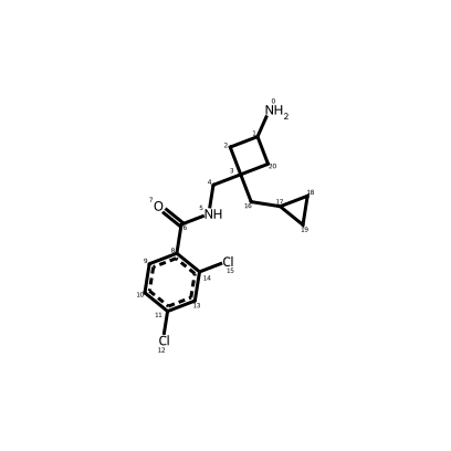 NC1CC(CNC(=O)c2ccc(Cl)cc2Cl)(CC2CC2)C1